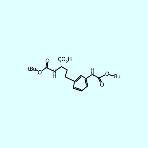 CC(C)(C)OC(=O)Nc1cccc(CC[C@H](NC(=O)OC(C)(C)C)C(=O)O)c1